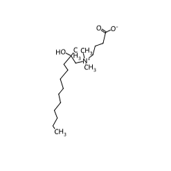 CCCCCCCCCCC(C)(O)C[N+](C)(C)CCCC(=O)[O-]